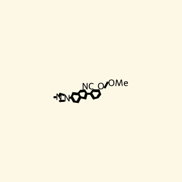 COCCOc1cccc(-c2ccc3cc(N4CCN(C)CC4)ccc3c2)c1C#N